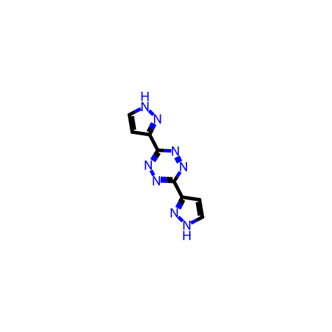 c1cc(-c2nnc(-c3cc[nH]n3)nn2)n[nH]1